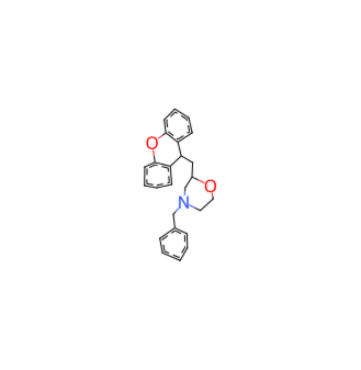 c1ccc(CN2CCOC(CC3c4ccccc4Oc4ccccc43)C2)cc1